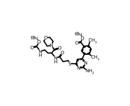 Cc1cc(C)c(-c2cc(SCCC(=O)NC(CCNC(=O)OC(C)(C)C)C(=O)N3CCOCC3)nc(N)n2)cc1C(=O)OC(C)(C)C